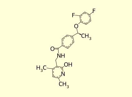 Cc1cc(C)c(CNC(=O)c2ccc([C@H](C)Oc3ccc(F)cc3F)cc2)c(O)n1